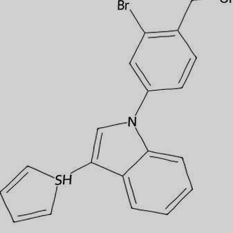 OCc1ccc(-n2cc([SH]3C=CC=C3)c3ccccc32)cc1Br